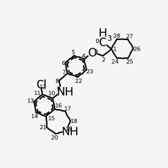 CC1(COc2ccc(CNc3c(Cl)ccc4c3CCNCC4)cc2)CCCCC1